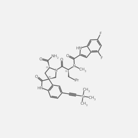 CC(C)C[C@@H](C(=O)N1C[C@]2(C[C@H]1C(N)=O)C(=O)Nc1ccc(C#C[Si](C)(C)C)cc12)N(C)C(=O)c1cc2c(F)cc(F)cc2[nH]1